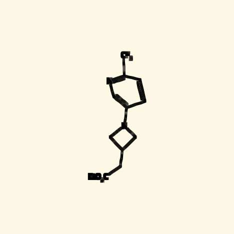 CCOC(=O)CC1CN(c2ccc(C(F)(F)F)nc2)C1